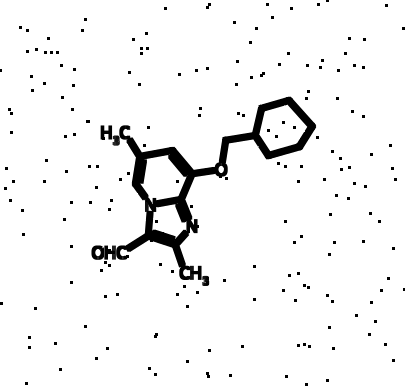 Cc1cc(OCC2CCCCC2)c2nc(C)c(C=O)n2c1